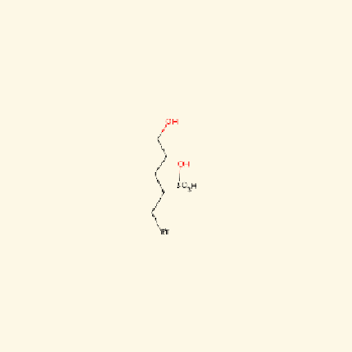 CC(C)CCCCCO.O=S(=O)(O)O